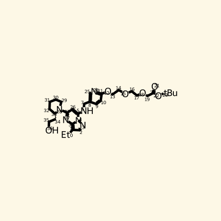 CCc1cnn2c(NCc3ccc(OCCOCCOCC(=O)OC(C)(C)C)nc3)cc(N3CCCC[C@H]3CCO)nc12